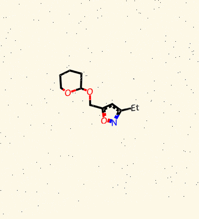 CCc1cc(COC2CCCCO2)on1